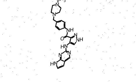 CN1CCN(Cc2ccc(NC(=O)c3n[nH]cc3Nc3ncc4cc[nH]c4n3)cc2)CC1